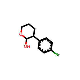 OC1OCCCC1c1ccc(Br)cc1